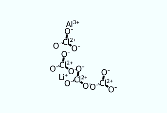 [Al+3].[Li+].[O-][Cl+2]([O-])[O-].[O-][Cl+2]([O-])[O-].[O-][Cl+2]([O-])[O-].[O-][Cl+2]([O-])[O-]